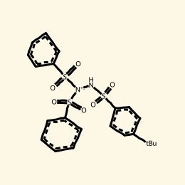 CC(C)(C)c1ccc(S(=O)(=O)N[N+](S(=O)(=O)c2ccccc2)S(=O)(=O)c2ccccc2)cc1